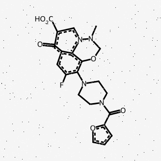 CN1COc2c(N3CCN(C(=O)c4ccco4)CC3)c(F)cc3c(=O)c(C(=O)O)cn1c23